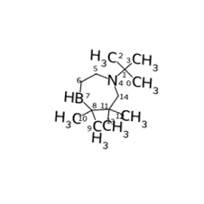 CC(C)(C)N1CCBC(C)(C)C(C)(C)C1